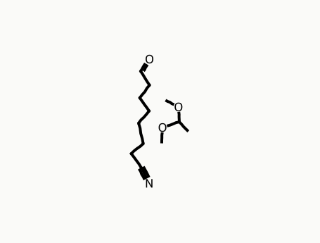 COC(C)OC.N#CCCCCCCC=O